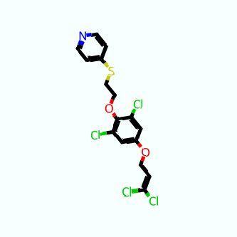 ClC(Cl)=CCOc1cc(Cl)c(OCCSc2ccncc2)c(Cl)c1